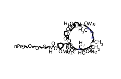 CCCOCCOCCOCCOCCNC(=O)O[C@@H]1CC[C@@H](C[C@@H](N)[C@@H]2CC(=O)[C@H](C)/C=C(\C)[C@@H](O)[C@@H](OC)C(=O)[C@H](C)C[C@H](C)/C=C/C=C/C=C(\C)[C@@H](OC)C[C@@H]3CC[C@@H](C)[C@@](O)(O3)C(=O)C(=O)N3CCCCC3C(=O)O2)C[C@H]1OC